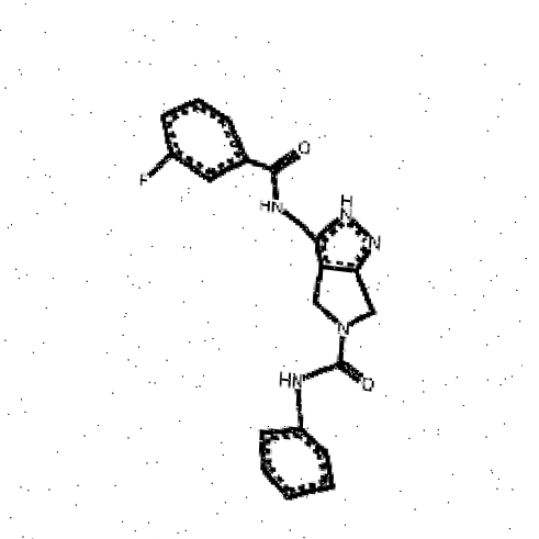 O=C(Nc1[nH]nc2c1CN(C(=O)Nc1ccccc1)C2)c1cccc(F)c1